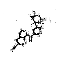 C[C@]1(c2cc(Nc3nccc4cc(C#N)cnc34)cnc2F)N=C(N)S[C@H]2C[C@H]21